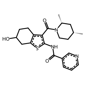 C[C@@H]1CCN(C(=O)c2c(NC(=O)c3cccnc3)sc3c2CCC(O)C3)[C@H](C)C1